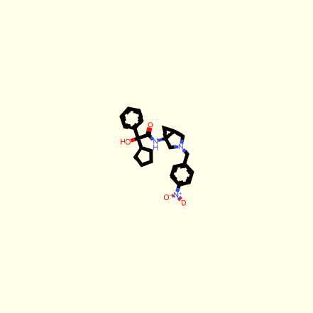 O=C(NC12CC1CN(Cc1ccc([N+](=O)[O-])cc1)C2)C(O)(c1ccccc1)C1CCCC1